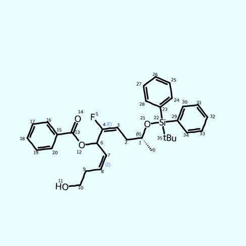 C[C@H](C/C=C(/F)C(/C=C\CCO)OC(=O)c1ccccc1)O[Si](c1ccccc1)(c1ccccc1)C(C)(C)C